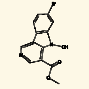 COC(=O)c1cncc2c3ccc(Br)cc3n(O)c12